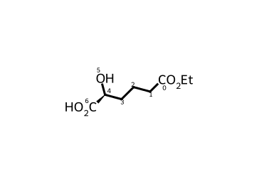 CCOC(=O)CCC[C@H](O)C(=O)O